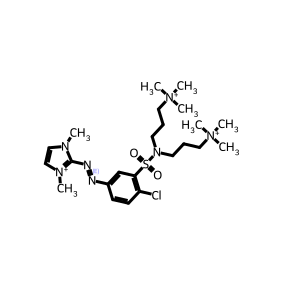 Cn1cc[n+](C)c1/N=N/c1ccc(Cl)c(S(=O)(=O)N(CCC[N+](C)(C)C)CCC[N+](C)(C)C)c1